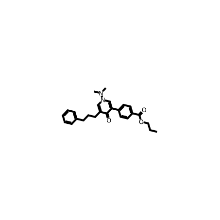 CCCOC(=O)c1ccc(-c2cn(N(C)C)cc(CCCc3ccccc3)c2=O)cc1